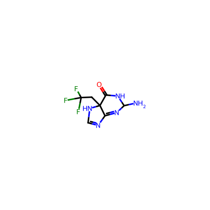 NC1N=C2N=CNC2(CC(F)(F)F)C(=O)N1